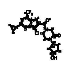 O=C(c1nc2c(C(F)(F)F)cc(C3CC3)cn2c1Cl)N1CCN([C@H]2CC[C@H](O)C2)C(=O)C1